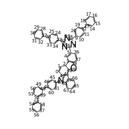 C1=CC2c3cc(-c4nc(-c5ccc(-c6ccccc6)cc5)nc(-c5ccc(-c6ccccc6)cc5)n4)ccc3OC2c2c1n(-c1ccc(-c3cccc(-c4ccccc4)c3)cc1)c1ccccc21